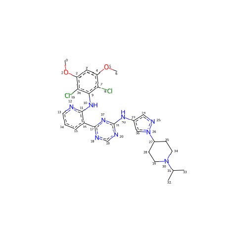 COc1cc(OC)c(Cl)c(Nc2ncccc2-c2ncnc(Nc3cnn(C4CCN(C(C)C)CC4)c3)n2)c1Cl